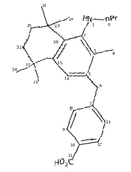 CCCNc1c(C)c(Cc2ccc(C(=O)O)cc2)cc2c1C(C)(C)CCC2(C)C